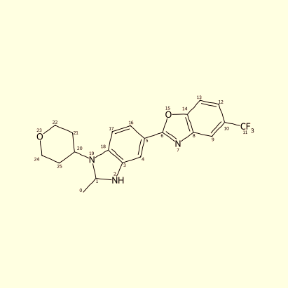 CC1Nc2cc(-c3nc4cc(C(F)(F)F)ccc4o3)ccc2N1C1CCOCC1